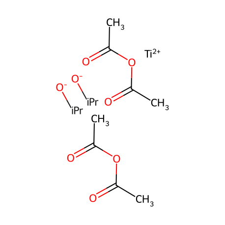 CC(=O)OC(C)=O.CC(=O)OC(C)=O.CC(C)[O-].CC(C)[O-].[Ti+2]